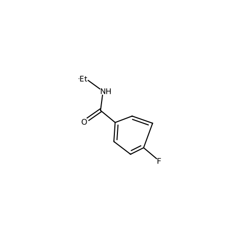 C[CH]NC(=O)c1ccc(F)cc1